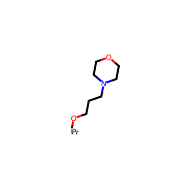 CC(C)OCCCN1CCOCC1